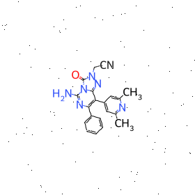 Cc1cc(-c2c(-c3ccccc3)nc(N)n3c(=O)n(CC#N)nc23)cc(C)n1